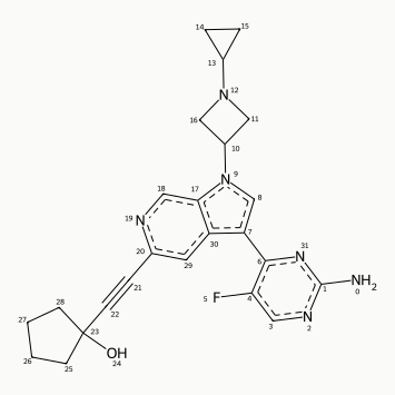 Nc1ncc(F)c(-c2cn(C3CN(C4CC4)C3)c3cnc(C#CC4(O)CCCC4)cc23)n1